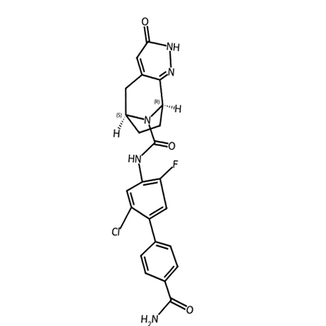 NC(=O)c1ccc(-c2cc(F)c(NC(=O)N3[C@H]4CC[C@@H]3c3n[nH]c(=O)cc3C4)cc2Cl)cc1